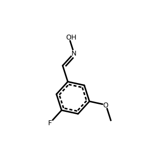 COc1cc(F)cc(C=NO)c1